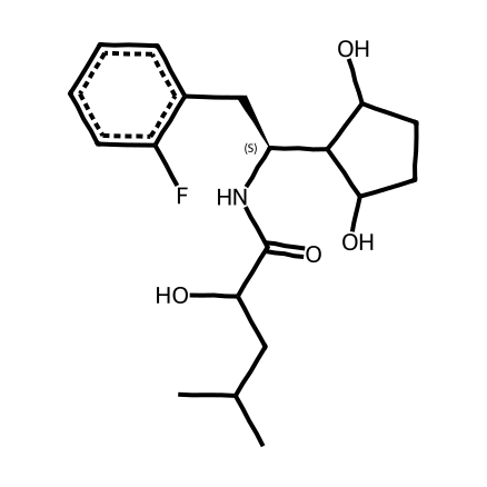 CC(C)CC(O)C(=O)N[C@@H](Cc1ccccc1F)C1C(O)CCC1O